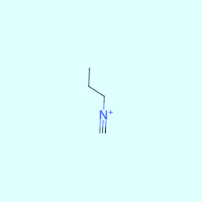 C#[N+]CCC